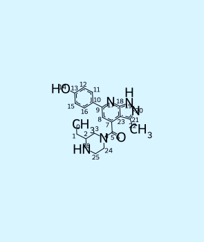 CCC1CN(C(=O)c2cc(-c3ccc(O)cc3)nc3[nH]nc(C)c23)CCN1